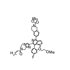 C=CC(=O)N1CCn2cc(-c3nc(-c4ccc5c(c4)CCN(C(=O)OC(C)(C)C)C5)c4ccsc4c3-c3ccc(F)cc3OCCOC)nc2C1